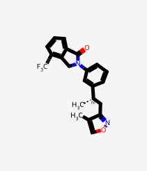 Cc1conc1C[C@H](C)c1cccc(N2Cc3c(cccc3C(F)(F)F)C2=O)c1